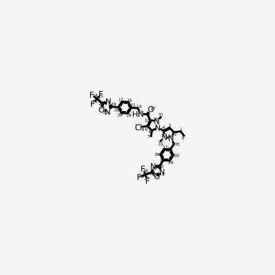 CCC1C=C(N2C(C)C(Cl)=C(C(=O)NCc3ccc(-c4noc(C(F)(F)F)n4)cc3)N2C)N(C)N1Cc1ccc(-c2noc(C(F)(F)F)n2)cc1